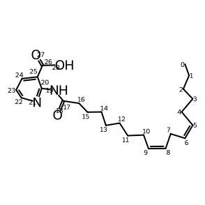 CCCCC/C=C\C/C=C\CCCCCCCC(=O)Nc1ncccc1C(=O)O